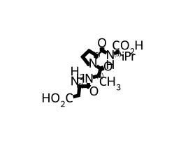 CC(C)[C@H](NC(=O)[C@@H]1CCCN1C(=O)[C@H](C)NC(=O)[C@@H](N)CC(=O)O)C(=O)O